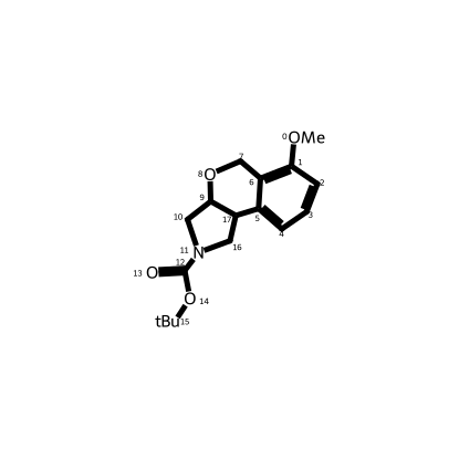 COc1cccc2c1COC1CN(C(=O)OC(C)(C)C)CC21